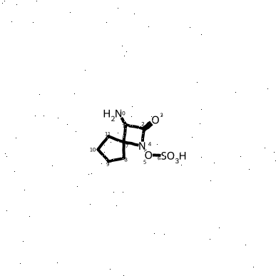 NC1C(=O)N(OS(=O)(=O)O)C12CCCC2